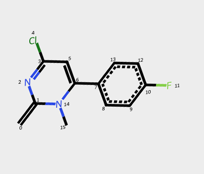 C=C1N=C(Cl)C=C(c2ccc(F)cc2)N1C